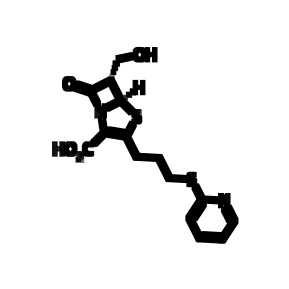 O=C(O)C1=C(CCCSc2ccccn2)S[C@@H]2[C@@H](CO)C(=O)N12